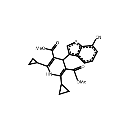 COC(=O)C1=C(C2CC2)NC(C2CC2)=C(C(=O)OC)C1c1csc2c(C#N)cccc12